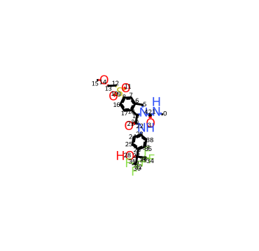 CNC(=O)N1Cc2cc(S(=O)(=O)CCOC)ccc2C1C(=O)Nc1ccc(C(O)(C(F)(F)F)C(F)(F)F)cc1